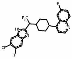 Fc1ccc2nccc(C3CCC(C(c4nc5cc(F)c(Cl)cc5[nH]4)C(F)(F)F)CC3)c2c1